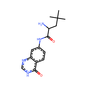 CC(C)(C)CC(N)C(=O)Nc1ccc2c(=O)[nH]cnc2c1